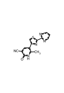 Cc1[nH]c(=O)c(C#N)cc1-c1csc(-c2ncccn2)n1